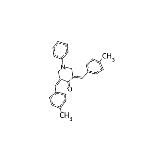 Cc1ccc(/C=C2/CN(c3ccccc3)C/C(=C\c3ccc(C)cc3)C2=O)cc1